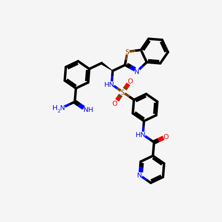 N=C(N)c1cccc(C[C@H](NS(=O)(=O)c2cccc(NC(=O)c3cccnc3)c2)c2nc3ccccc3s2)c1